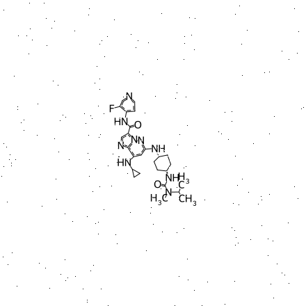 CC(C)N(C)C(=O)N[C@H]1CC[C@H](Nc2cc(NC3CC3)c3ncc(C(=O)Nc4ccncc4F)n3n2)CC1